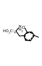 Cc1ccc(C[C@@H](N)C(=O)O)c(Cl)c1